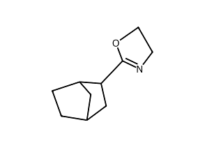 C1COC(C2CC3CCC2C3)=N1